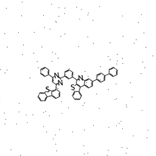 c1ccc(-c2ccc(-c3ccc4c(c3)nc(-c3cccc(-c5nc(-c6ccccc6)cc(-c6cccc7c6sc6ccccc67)n5)c3)c3sc5ccccc5c34)cc2)cc1